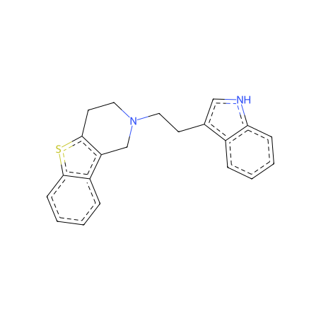 c1ccc2c(CCN3CCc4sc5ccccc5c4C3)c[nH]c2c1